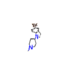 CN1CCC(N2CCc3cc(Br)ccc32)CC1